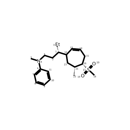 CC[C@@H](CCN(C)c1ccccc1)C1C=CC[C@H](S(C)(=O)=O)[C@H](C)C1